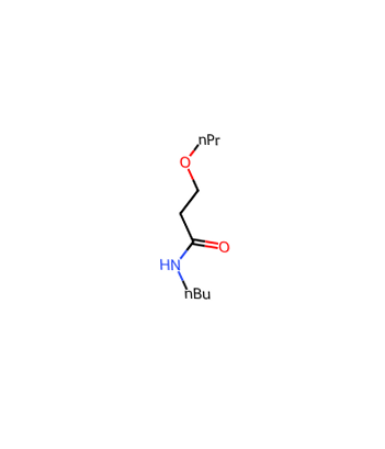 CCCCNC(=O)CCOCCC